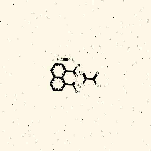 C=C.C=C(C)C(=O)O.O=C(O)c1cccc2cccc(C(=O)O)c12